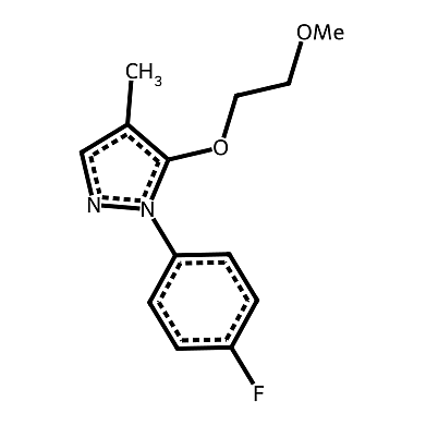 COCCOc1c(C)cnn1-c1ccc(F)cc1